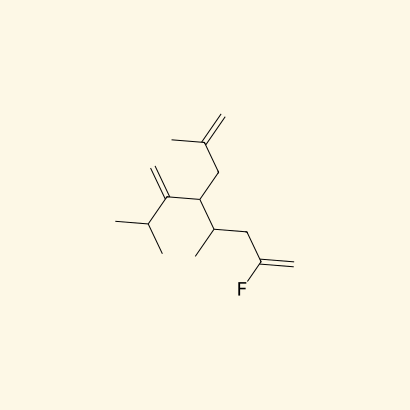 C=C(C)CC(C(=C)C(C)C)C(C)CC(=C)F